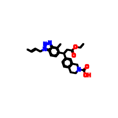 C/C=C/Cn1nnc2c(C)c(C(CC(=O)OCC)c3ccc4c(c3)CN(C(=O)O)CC4)ccc21